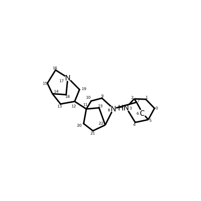 C1CC2NCC1CC2N1CCC2(C3CC4CCN(C4)C3)CCC1C2